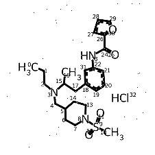 CCCN(CC1CCN(S(C)(=O)=O)CC1)C(C)Cc1cccc(NC(=O)c2ccco2)c1.Cl